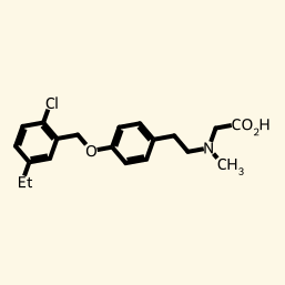 CCc1ccc(Cl)c(COc2ccc(CCN(C)CC(=O)O)cc2)c1